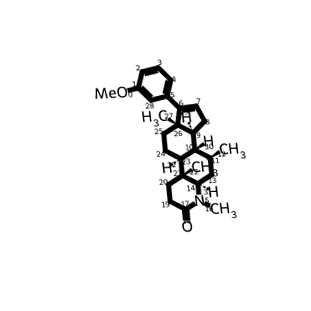 COc1cccc(C2=CC[C@H]3[C@@H]4[C@@H](C)C[C@H]5N(C)C(=O)CC[C@]5(C)[C@H]4CC[C@]23C)c1